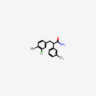 CC(C)(C)c1ccc(CC(C(N)=O)c2cccc(C(F)(F)F)c2)cc1Cl